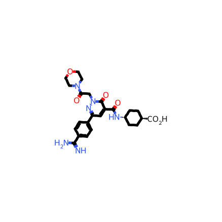 N=C(N)c1ccc(-c2cc(C(=O)N[C@H]3CC[C@H](C(=O)O)CC3)c(=O)n(CC(=O)N3CCOCC3)n2)cc1